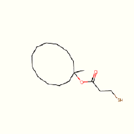 CC1(OC(=O)CCS)CCCCCCCCCCC1